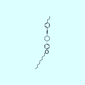 CCCCCCCCCOc1ccc([C@H]2CC[C@H](C#Cc3ccc(CCC)cc3)CC2)cc1